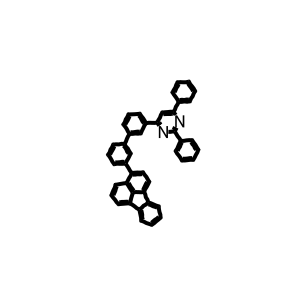 c1ccc(-c2cc(-c3cccc(-c4cccc(-c5ccc6c7c(cccc57)-c5ccccc5-6)c4)c3)nc(-c3ccccc3)n2)cc1